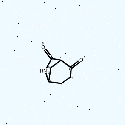 O=C1CCC2CC1C(=O)N2